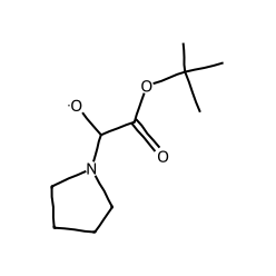 CC(C)(C)OC(=O)C([O])N1CCCC1